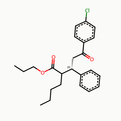 CCCCC(C(=O)OCCC)[C@H](CC(=O)c1ccc(Cl)cc1)c1ccccc1